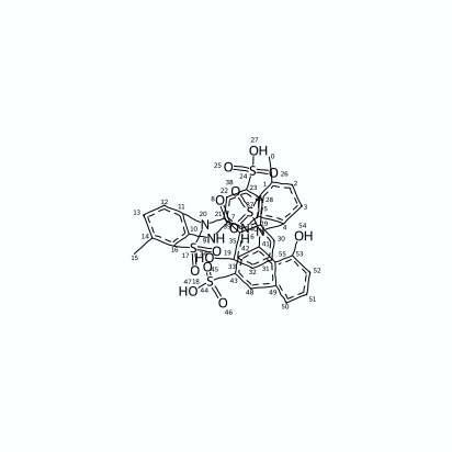 Cc1ccc2c(NC(=O)Nc3c4ccc(C)c3S(=O)(=O)N4c3cc(S(=O)(=O)O)cc4cccc(O)c34)c1S(=O)(=O)N2c1cc(S(=O)(=O)O)cc2cccc(O)c12